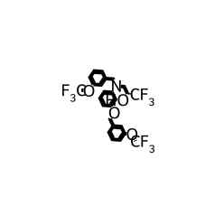 O[C@H](CN(Cc1cccc(OC(F)(F)F)c1)c1cccc(OCc2cccc(OC(F)(F)F)c2)c1)C(F)(F)F